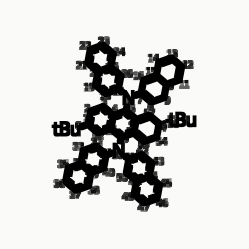 CC(C)(C)c1ccc2c(N(C3=CCC4C=CC=CC4=C3)c3ccc4ccccc4c3)c3c(c(N(c4ccc5ccccc5c4)c4ccc5ccccc5c4)c2c1)=CC[C@@H](C(C)(C)C)C=3